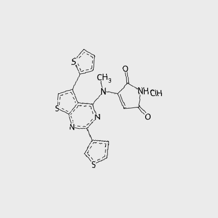 CN(C1=CC(=O)NC1=O)c1nc(-c2ccsc2)nc2scc(-c3cccs3)c12.Cl